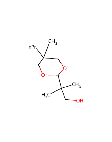 CCCC1(C)COC(C(C)(C)CO)OC1